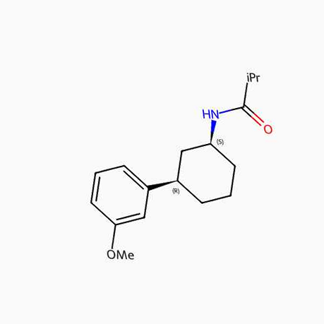 COc1cccc([C@@H]2CCC[C@H](NC(=O)C(C)C)C2)c1